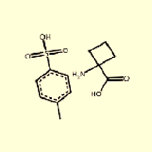 Cc1ccc(S(=O)(=O)O)cc1.NC1(C(=O)O)CCC1